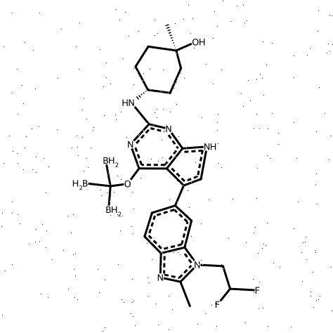 BC(B)(B)Oc1nc(N[C@H]2CC[C@](C)(O)CC2)nc2[nH]cc(-c3ccc4nc(C)n(CC(F)F)c4c3)c12